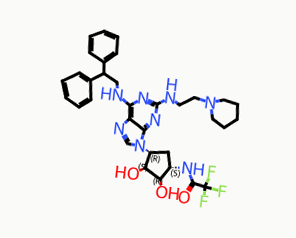 O=C(N[C@H]1C[C@@H](n2cnc3c(NCC(c4ccccc4)c4ccccc4)nc(NCCN4CCCCC4)nc32)[C@H](O)[C@@H]1O)C(F)(F)F